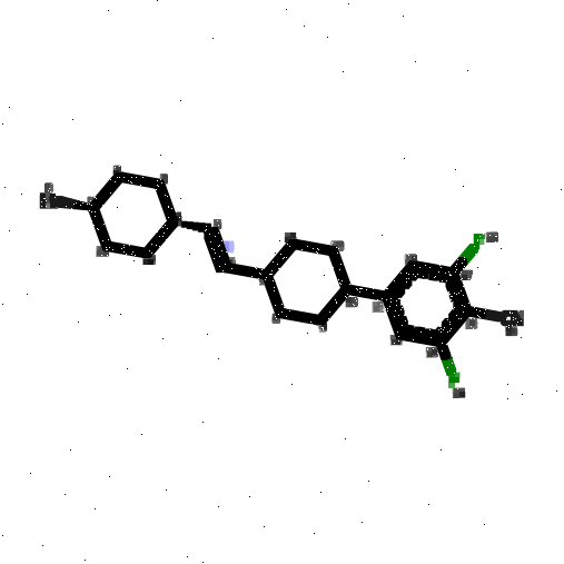 CC[C@H]1CC[C@H](/C=C/C2CCC(c3cc(F)c(C#N)c(F)c3)CC2)CC1